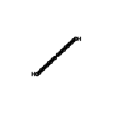 OCCOCCOCCOCCOCCOCCOCCOCCOCCOCCCCOCCOCCOCCOCCOCCOCCOCCOCCOCCO